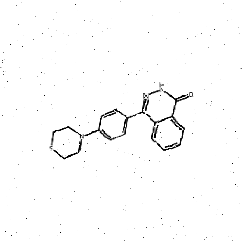 O=c1[nH]nc(-c2ccc(N3CCSCC3)cc2)c2ccccc12